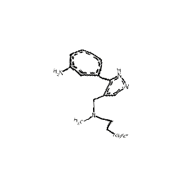 CNCCN(C)Cc1cn[nH]c1-c1cccc(N)c1